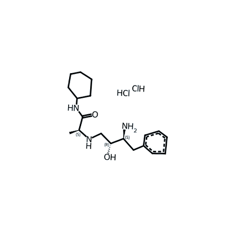 C[C@H](NC[C@@H](O)[C@@H](N)Cc1ccccc1)C(=O)NC1CCCCC1.Cl.Cl